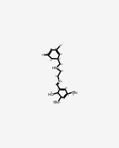 CC(C)(C)C1=CC(C(C)(C)C)C(O)C(/C=N/CCNCC2C=C(I)C=C(I)C2)=C1